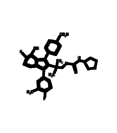 Cc1cc(-n2c(C(C)(C)COC(=O)NC3CCOC3)c(-c3ccc(C(=O)O)cc3)c3c(O)c(F)ccc32)ccc1F